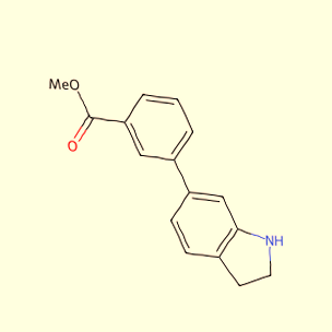 COC(=O)c1cccc(-c2ccc3c(c2)NCC3)c1